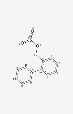 O=[SH](=O)OCc1ccccc1-c1cc[c]cc1